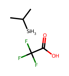 CC(C)[SiH3].O=C(O)C(F)(F)F